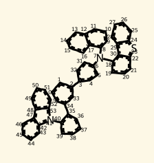 c1cc(-c2ccc(N(c3cccc4ccccc34)c3cccc4sc5ccccc5c34)cc2)cc(-c2ccccc2-n2c3ccccc3c3ccccc32)c1